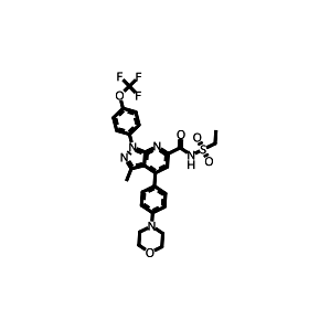 CCS(=O)(=O)NC(=O)c1cc(-c2ccc(N3CCOCC3)cc2)c2c(C)nn(-c3ccc(OC(F)(F)F)cc3)c2n1